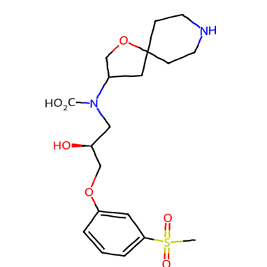 CS(=O)(=O)c1cccc(OC[C@@H](O)CN(C(=O)O)C2COC3(CCNCC3)C2)c1